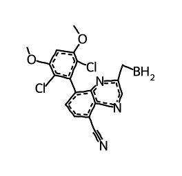 BCc1cnc2c(C#N)ccc(-c3c(Cl)c(OC)cc(OC)c3Cl)c2n1